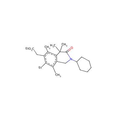 CCOC(=O)Cc1c(C)c2c(c(C)c1CC)CN(C1CCCCC1)C(=O)C2(C)C